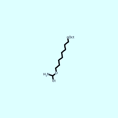 CCCCCCCCCCCCCCCCOC(N)CC